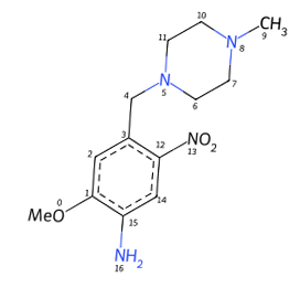 COc1cc(CN2CCN(C)CC2)c([N+](=O)[O-])cc1N